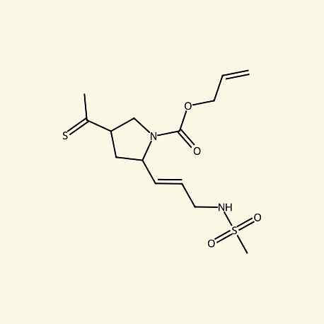 C=CCOC(=O)N1CC(C(C)=S)CC1/C=C/CNS(C)(=O)=O